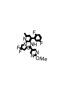 COc1ncc(C(=O)Nc2c(-c3cc(F)ccc3F)cc(C)nc2N2CCC(F)(F)C2)cn1